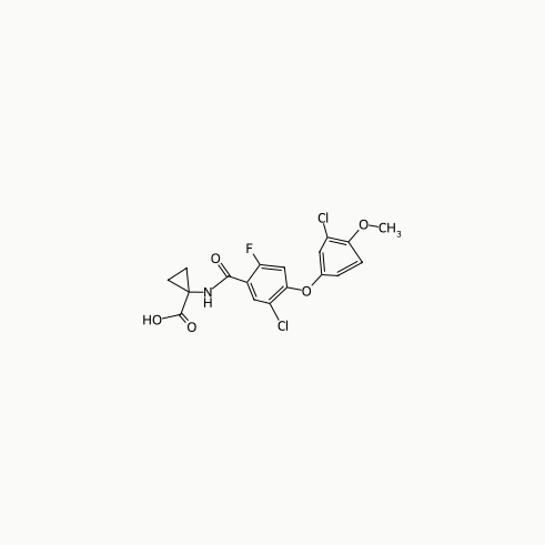 COc1ccc(Oc2cc(F)c(C(=O)NC3(C(=O)O)CC3)cc2Cl)cc1Cl